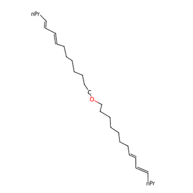 CCCC=CC=CCCCCCCCOCCCCCCCC=CC=CCCC